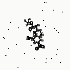 CN(C(=O)OC(C)(C)C)c1ccc2cc([N+](=O)[O-])cc(Br)c2n1